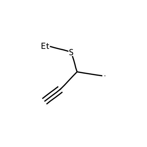 C#CC([CH2])SCC